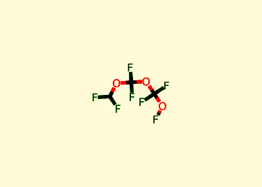 FOC(F)(F)OC(F)(F)OC(F)F